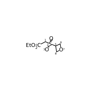 CCOC(=O)CS(=O)(=O)C1COC1